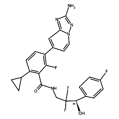 Nc1nc2cc(-c3ccc(C4CC4)c(C(=O)NCC(F)(F)[C@H](O)c4ccc(F)cc4)c3F)ccn2n1